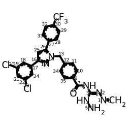 C=N/N=C(\NN)NC(=O)c1ccc(Cn2nc(-c3cc(Cl)cc(Cl)c3)cc2-c2ccc(C(F)(F)F)cc2)cc1